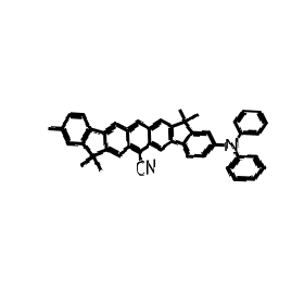 Cc1ccc2c(c1)C(C)(C)c1cc3c(C#N)c4cc5c(cc4cc3cc1-2)C(C)(C)c1cc(N(c2ccccc2)c2ccccc2)ccc1-5